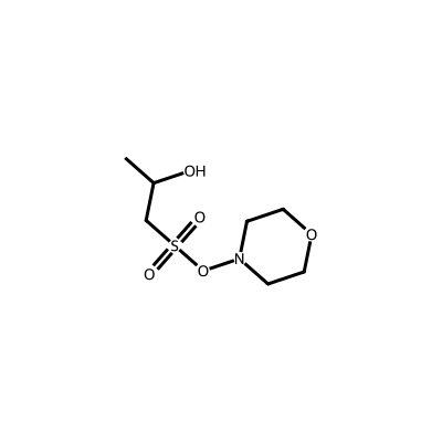 CC(O)CS(=O)(=O)ON1CCOCC1